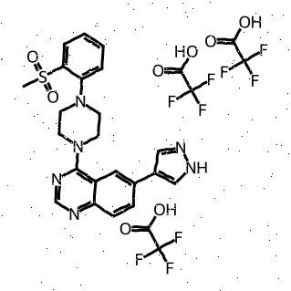 CS(=O)(=O)c1ccccc1N1CCN(c2ncnc3ccc(-c4cn[nH]c4)cc23)CC1.O=C(O)C(F)(F)F.O=C(O)C(F)(F)F.O=C(O)C(F)(F)F